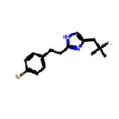 CCC(C)(C)Cc1c[nH]c(CCc2ccc(Br)cc2)n1